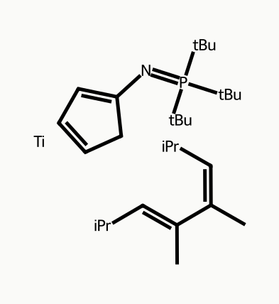 CC(=CC(C)C)C(C)=CC(C)C.CC(C)(C)P(=NC1=CC=CC1)(C(C)(C)C)C(C)(C)C.[Ti]